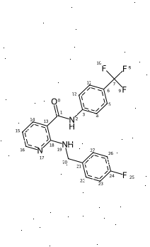 O=C(Nc1ccc(C(F)(F)F)cc1)c1cccnc1NCc1ccc(F)cc1